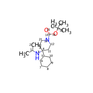 CC(C)NC1(C2CCCCC2)CCN(C(=O)OC(C)(C)C)CC1